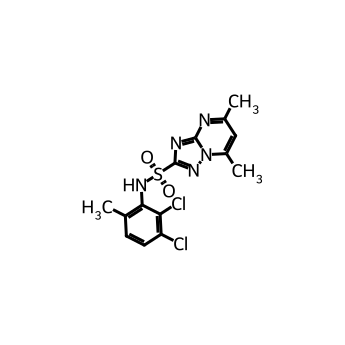 Cc1cc(C)n2nc(S(=O)(=O)Nc3c(C)ccc(Cl)c3Cl)nc2n1